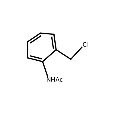 CC(=O)Nc1ccccc1CCl